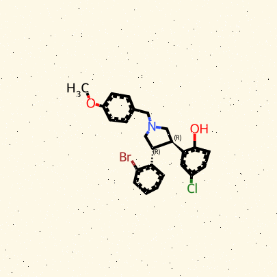 COc1ccc(CN2C[C@@H](c3cc(Cl)ccc3O)[C@H](c3ccccc3Br)C2)cc1